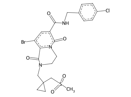 CS(=O)(=O)CC1(CN2CCn3c(c(Br)cc(C(=O)NCc4ccc(Cl)cc4)c3=O)C2=O)CC1